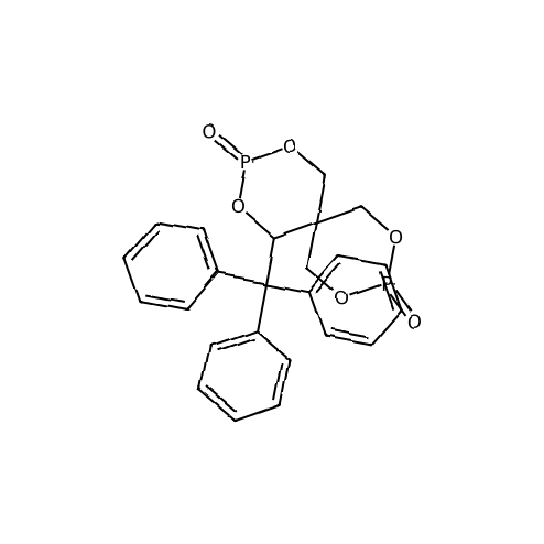 O=[P]1OCC2(CO1)CO[P](=O)OC2C(c1ccccc1)(c1ccccc1)c1ccccc1